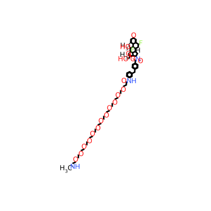 CNCCOCCOCCOCCOCCOCCOCCOCCOCCOCCOCCOCCOCCC(=O)Nc1cccc(Cc2ccc([C@H](N=O)O[C@]3(C(=O)CO)CCC4[C@@H]5C[C@H](F)C6=CC(=O)C=C[C@]6(C)[C@@]5(F)[C@@H](O)C[C@@]43C)cc2)c1